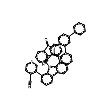 N#Cc1ccncc1-c1cccc2c3cccc(-c4cnccc4C#N)c3n(-c3cccc4c3C(=O)N(c3ccc(-c5ccccc5)cc3-c3ccccc3)C4=O)c12